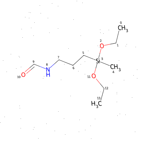 CCO[Si](C)(CCCNC=O)OCC